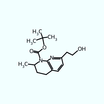 CC1CCc2ccc(CCO)nc2N1C(=O)OC(C)(C)C